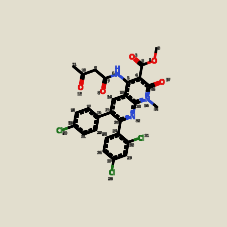 COC(=O)c1c(NC(=O)CC(C)=O)c2cc(-c3ccc(Cl)cc3)c(-c3ccc(Cl)cc3Cl)nc2n(C)c1=O